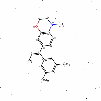 COc1cc(OC)cc(C(=CC#N)c2ccc3c(c2)OCCN3C)c1